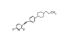 CCCC1CCC(c2ccc(C#Cc3ccc(F)nc3F)cc2)CC1